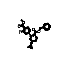 COC(=O)c1ccc([C@@H]2CC(=C3CC3)CCN2C(=O)OCc2ccccc2)cc1F